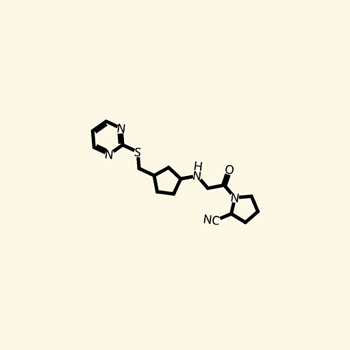 N#CC1CCCN1C(=O)CNC1CCC(CSc2ncccn2)C1